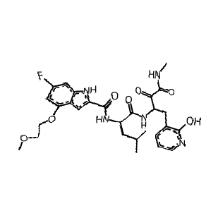 CNC(=O)C(=O)C(Cc1cccnc1O)NC(=O)C(CC(C)C)NC(=O)c1cc2c(OCCOC)cc(F)cc2[nH]1